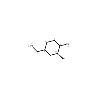 C[C@H]1CC(CO)CCC1Br